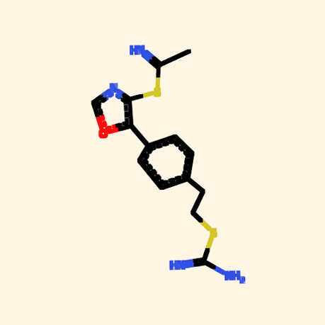 CC(=N)Sc1ncoc1-c1ccc(CCSC(=N)N)cc1